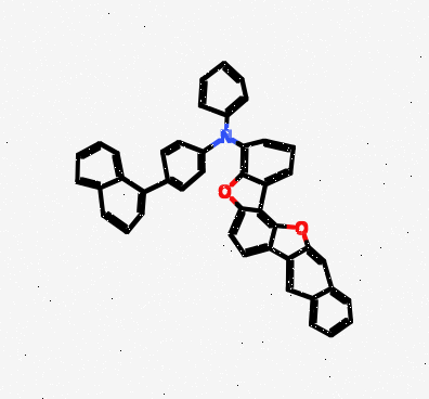 c1ccc(N(c2ccc(-c3cccc4ccccc34)cc2)c2cccc3c2oc2ccc4c5cc6ccccc6cc5oc4c23)cc1